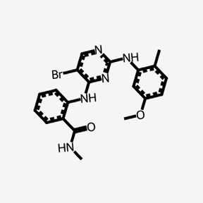 CNC(=O)c1ccccc1Nc1nc(Nc2cc(OC)ccc2C)ncc1Br